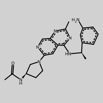 CC(=O)N[C@@H]1CCN(c2cc3c(N[C@H](C)c4cccc(N)c4)nc(C)nc3cn2)C1